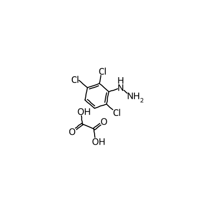 NNc1c(Cl)ccc(Cl)c1Cl.O=C(O)C(=O)O